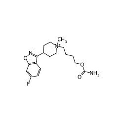 C[N+]1(CCCCOC(N)=O)CCC(c2noc3cc(F)ccc23)CC1